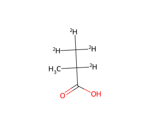 [2H]C([2H])([2H])C([2H])(C)C(=O)O